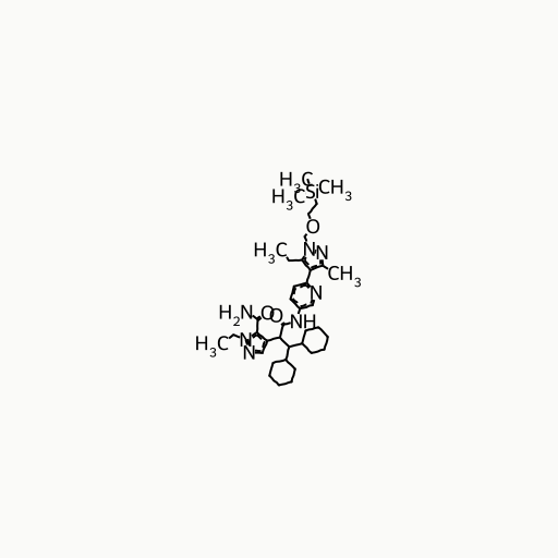 CCc1c(-c2ccc(NC(=O)C(c3cnn(CC)c3C(N)=O)C(C3CCCCC3)C3CCCCC3)cn2)c(C)nn1COCC[Si](C)(C)C